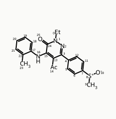 CCn1nc(-c2ccc([S+](C)[O-])cc2)c(C(C)=O)c(Nc2ccccc2C)c1=O